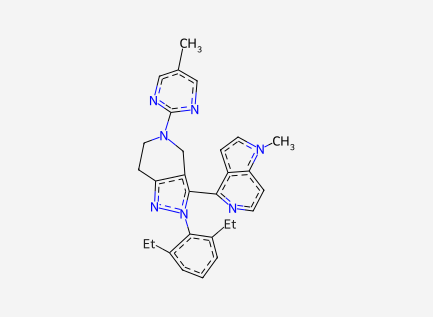 CCc1cccc(CC)c1-n1nc2c(c1-c1nccc3c1ccn3C)CN(c1ncc(C)cn1)CC2